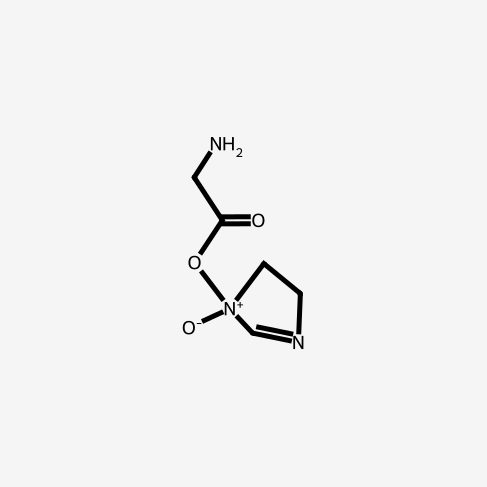 NCC(=O)O[N+]1([O-])C=NCC1